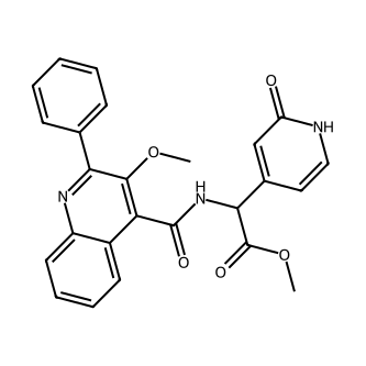 COC(=O)C(NC(=O)c1c(OC)c(-c2ccccc2)nc2ccccc12)c1cc[nH]c(=O)c1